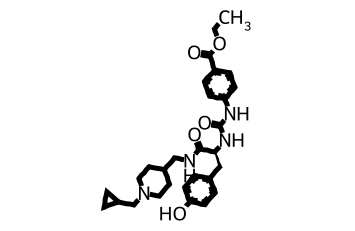 CCOC(=O)c1ccc(NC(=O)N[C@@H](Cc2ccc(O)cc2)C(=O)NCC2CCN(CC3CC3)CC2)cc1